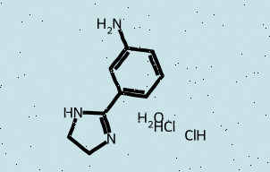 Cl.Cl.Nc1cccc(C2=NCCN2)c1.O